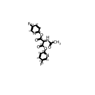 CC(=O)NC(C(=O)Oc1ccc(F)cn1)C(=O)Oc1ccc(F)cn1